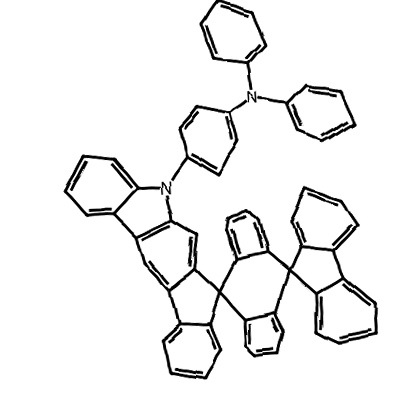 c1ccc(N(c2ccccc2)c2ccc(-n3c4ccccc4c4cc5c(cc43)C3(c4ccccc4-5)c4ccccc4C4(c5ccccc5-c5ccccc54)c4ccccc43)cc2)cc1